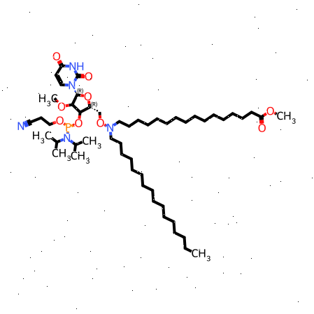 CCCCCCCCCCCCCCCCN(CCCCCCCCCCCCCCCC(=O)OC)OC[C@H]1O[C@@H](n2ccc(=O)[nH]c2=O)C(OC)C1OP(OCCC#N)N(C(C)C)C(C)C